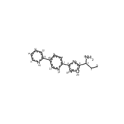 CCC(N)c1nc(-c2ccc(-c3ccccn3)cn2)no1